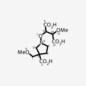 COCC1(C(=O)O)CCN(OC(C(=O)O)C(OC)C(=O)O)C1